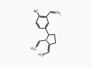 C=Cc1cc(C2CC/C(=C/N)N2C=C)ccc1C#N